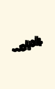 CCCCc1ccc(NC(=O)c2ccc(NS(=O)(=O)C(C)C)cn2)cc1